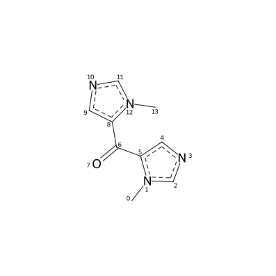 Cn1cncc1C(=O)c1cncn1C